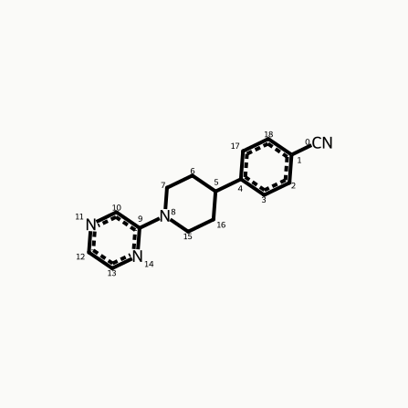 N#Cc1ccc(C2CCN(c3cnccn3)CC2)cc1